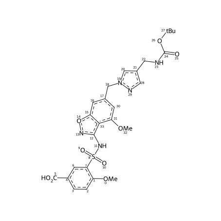 COc1ccc(C(=O)O)cc1S(=O)(=O)Nc1noc2cc(Cn3cc(CNC(=O)OC(C)(C)C)cn3)cc(OC)c12